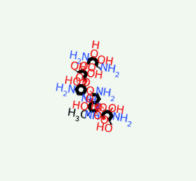 CN[C@@H]1[C@@H](O[C@H]2O[C@H](CO)[C@@H](N)[C@H](O)[C@H]2O)OC2C[C@@H](N)[C@@H](O[C@H]3[C@H](OC4O[C@H](CO)[C@@H](OC5O[C@@H](CN)[C@@H](O)[C@H](O)[C@H]5N)[C@H]4O)[C@@H](O)[C@H](N)C[C@@H]3N)OC2[C@@H]1O